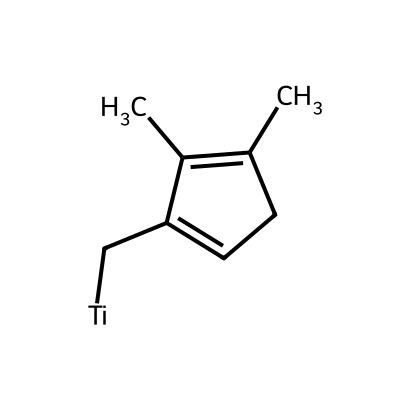 CC1=C(C)C([CH2][Ti])=CC1